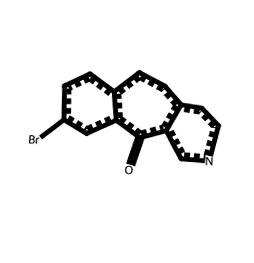 O=c1c2cnccc2ccc2ccc(Br)cc12